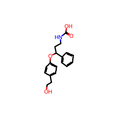 O=C(O)NCCC(Oc1ccc(CCO)cc1)c1ccccc1